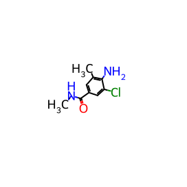 CNC(=O)c1cc(C)c(N)c(Cl)c1